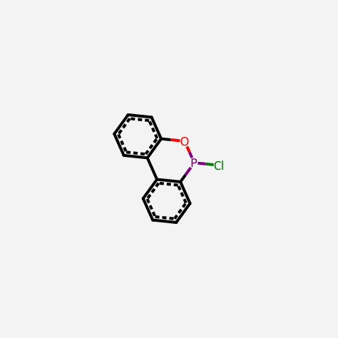 ClP1Oc2ccccc2-c2ccccc21